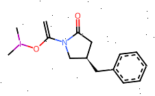 C=C(OI(C)C)N1C[C@H](Cc2ccccc2)CC1=O